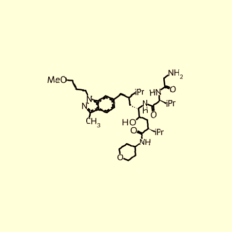 COCCCn1nc(C)c2ccc(CC(C[C@H](NC(=O)[C@@H](NC(=O)CN)C(C)C)C(O)C[C@H](C(=O)NC3CCOCC3)C(C)C)C(C)C)cc21